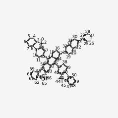 CC1(C)c2ccccc2-c2ccc(-c3c4ccc(-c5ccc6cc(C7=CCCC=C7)ccc6c5)cc4c(-c4ccc5c(c4)C(C)(C)c4ccccc4-5)c4cc5c(cc34)-c3ccccc3[Si]5(C)C)cc21